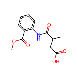 COC(=O)c1ccccc1NC(=O)C(C)CC(=O)O